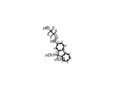 CCCCCCCCC1(CCCCCCCC)c2ccccc2-c2ccc(BOC(C)(C)C(C)(C)O)cc21